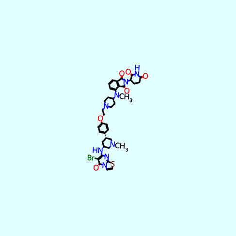 CN1C[C@H](Nc2nc3sccn3c(=O)c2Br)C[C@H](c2ccc(OCCN3CCC(N(C)c4cccc5c4C(=O)N(C4CCC(=O)NC4=O)C5=O)CC3)cc2)C1